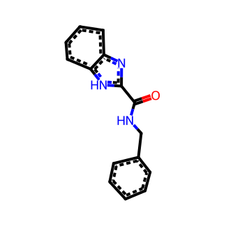 O=C(NCc1ccccc1)c1nc2ccccc2[nH]1